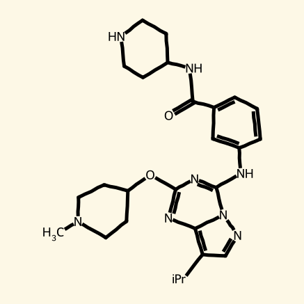 CC(C)c1cnn2c(Nc3cccc(C(=O)NC4CCNCC4)c3)nc(OC3CCN(C)CC3)nc12